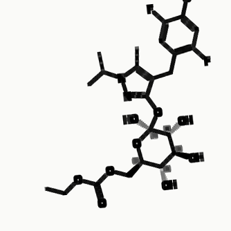 CCOC(=O)OC[C@H]1O[C@@](O)(Oc2nn(C(C)C)c(C)c2Cc2cc(F)c(OC)cc2F)[C@H](O)[C@@H](O)[C@@H]1O